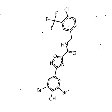 O=C(NCc1ccc(Cl)c(C(F)(F)F)c1)c1nc(-c2cc(Br)c(O)c(Br)c2)no1